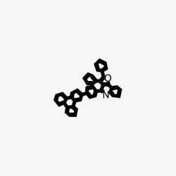 c1ccc(-c2oc3c(c(-c4ccc(-c5ccc6c7ccccc7c7ccccc7c6c5)cc4)nc4ccccc43)c2-c2ccccc2)cc1